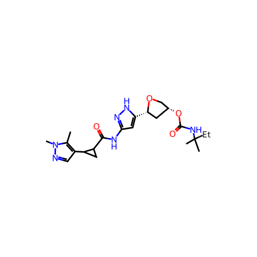 CCC(C)(C)NC(=O)O[C@H]1CO[C@@H](c2cc(NC(=O)C3CC3c3cnn(C)c3C)n[nH]2)C1